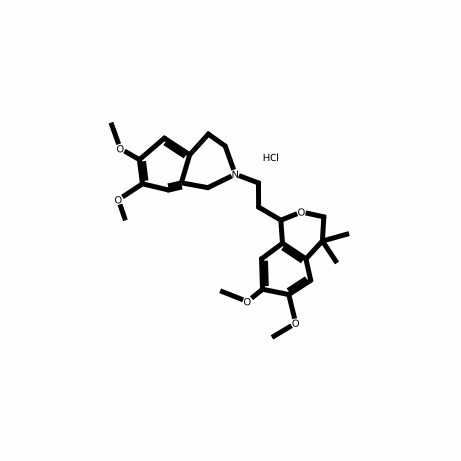 COc1cc2c(cc1OC)CN(CCC1OCC(C)(C)c3cc(OC)c(OC)cc31)CC2.Cl